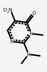 CN(C)c1ncc([N+](=O)[O-])c(=O)n1C